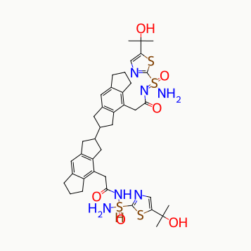 CC(C)(O)c1cnc(S(N)(=O)=NC(=O)Cc2c3c(cc4c2CC(C2Cc5cc6c(c(CC(=O)N[SH](N)(=O)c7ncc(C(C)(C)O)s7)c5C2)CCC6)C4)CCC3)s1